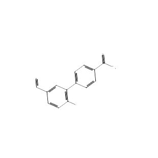 NC(=O)c1ccc(-c2cc(C=O)ccc2O)cc1